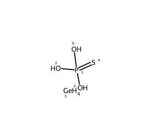 OP(O)(O)=S.[GeH4]